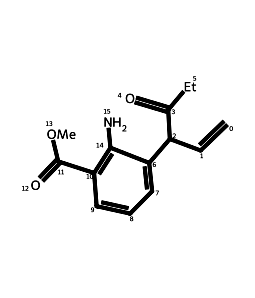 C=CC(C(=O)CC)c1cccc(C(=O)OC)c1N